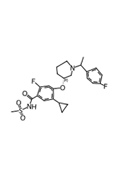 CC(c1ccc(F)cc1)N1CCC[C@@H](Oc2cc(F)c(C(=O)NS(C)(=O)=O)cc2C2CC2)C1